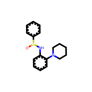 [O-][S+](Nc1ccccc1N1CCCCC1)c1ccccc1